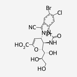 CC(C)C(=O)N[C@H]1[C@H]([C@H](O)[C@H](O)CO)OC(C(=O)O)=C[C@@H]1n1nc2cc(Cl)c(Br)cc2c1C#N